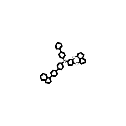 c1ccc(-c2ccc(N(c3ccc(-c4ccc(-c5cccc6ccccc56)cc4)cc3)c3ccc4c(c3)Oc3cccc5cccc(c35)O4)cc2)cc1